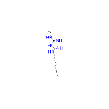 CCCCCCCNC(=N)NC(=N)NCC